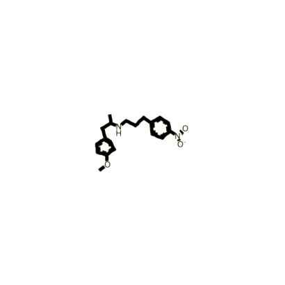 COc1ccc(CC(C)NCCCc2ccc([N+](=O)[O-])cc2)cc1